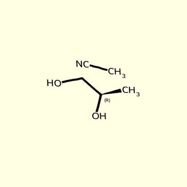 CC#N.C[C@@H](O)CO